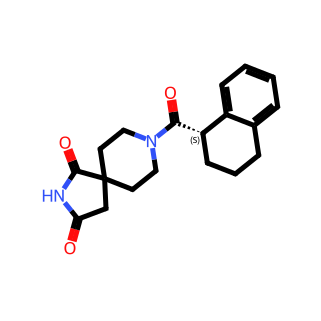 O=C1CC2(CCN(C(=O)[C@H]3CCCc4ccccc43)CC2)C(=O)N1